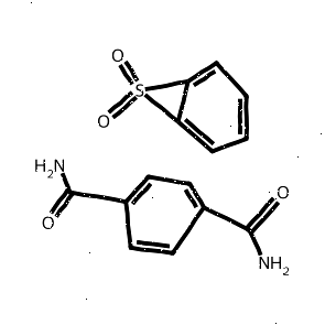 NC(=O)c1ccc(C(N)=O)cc1.O=S1(=O)c2ccccc21